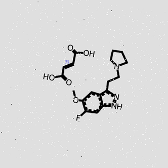 COc1cc2c(CCN3CCCC3)n[nH]c2cc1F.O=C(O)/C=C/C(=O)O